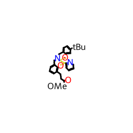 COC(=O)CCc1cccc(CN(Cc2ccc(C(C)(C)C)cc2)S(=O)(=O)c2ccccn2)c1